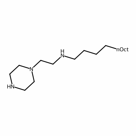 CCCCCCCCCCCCNCCN1CCNCC1